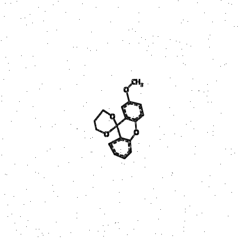 COc1ccc2c(c1)C1(OCCCO1)c1ccccc1O2